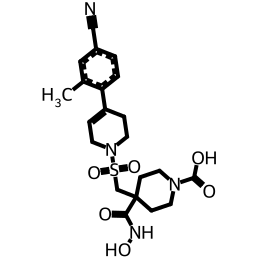 Cc1cc(C#N)ccc1C1=CCN(S(=O)(=O)CC2(C(=O)NO)CCN(C(=O)O)CC2)CC1